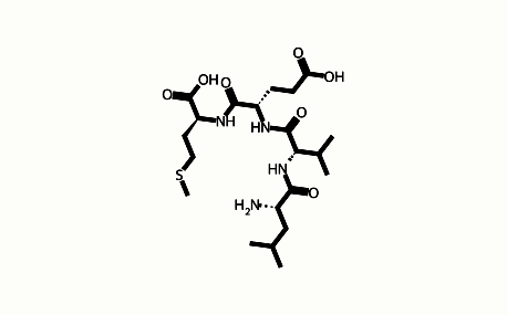 CSCC[C@H](NC(=O)[C@H](CCC(=O)O)NC(=O)[C@@H](NC(=O)[C@@H](N)CC(C)C)C(C)C)C(=O)O